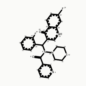 O=C(c1cccnc1)N(C(c1ccccc1F)c1c[nH]c2cc(F)ccc2c1=O)N1CCSCC1